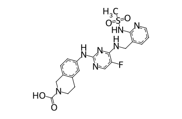 CS(=O)(=O)Nc1ncccc1CNc1nc(Nc2ccc3c(c2)CCN(C(=O)O)C3)ncc1F